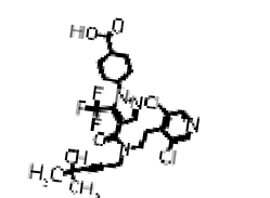 CC(C)(C)C#CCN(CCc1c(Cl)cncc1Cl)C(=O)c1cnn(C2CCC(C(=O)O)CC2)c1C(F)(F)F